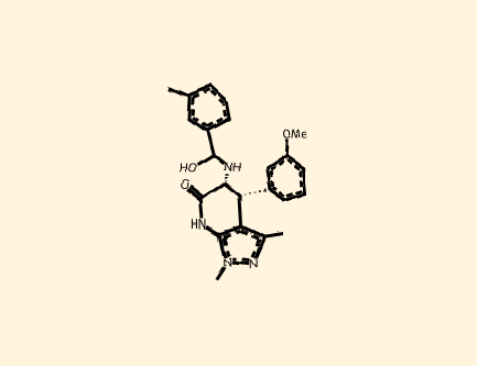 COc1cccc([C@@H]2c3c(C)nn(C)c3NC(=O)[C@@H]2NC(O)c2cccc(C)c2)c1